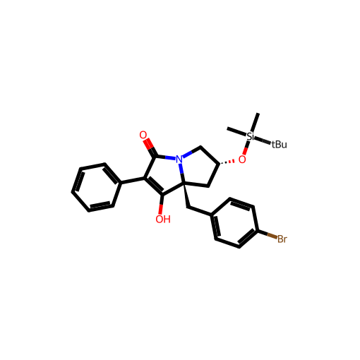 CC(C)(C)[Si](C)(C)O[C@H]1CN2C(=O)C(c3ccccc3)=C(O)[C@@]2(Cc2ccc(Br)cc2)C1